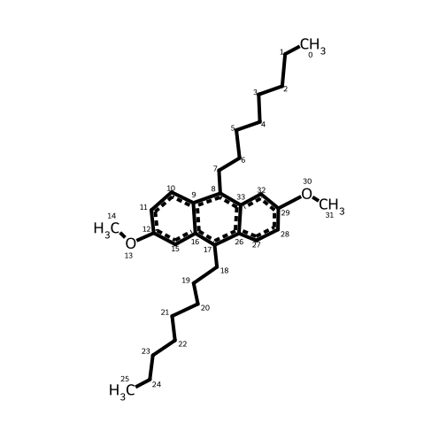 CCCCCCCCc1c2ccc(OC)cc2c(CCCCCCCC)c2ccc(OC)cc12